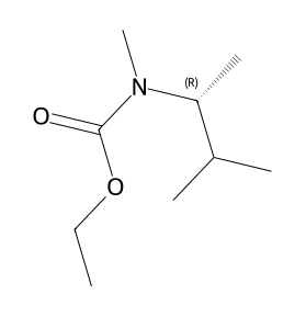 CCOC(=O)N(C)[C@H](C)C(C)C